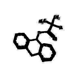 CCC(C)(C)C(=O)OC1c2ccccc2Cc2ccccc21